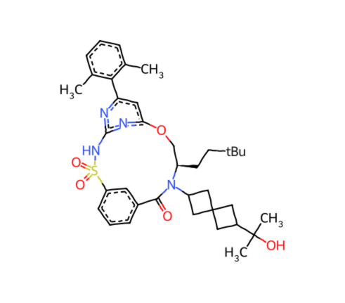 Cc1cccc(C)c1-c1cc2nc(n1)NS(=O)(=O)c1cccc(c1)C(=O)N(C1CC3(C1)CC(C(C)(C)O)C3)[C@H](CCC(C)(C)C)CO2